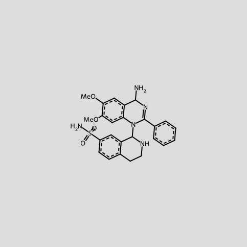 COc1cc2c(cc1OC)N(C1NCCc3ccc(S(N)(=O)=O)cc31)C(c1ccccc1)=NC2N